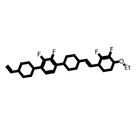 C=CC1CCC(c2ccc(C3CCC(/C=C/C4CCC(OCC)C(F)=C4F)CC3)c(F)c2F)CC1